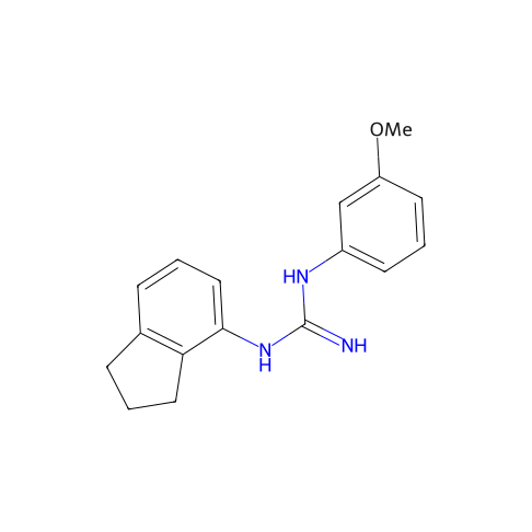 COc1cccc(NC(=N)Nc2cccc3c2CCC3)c1